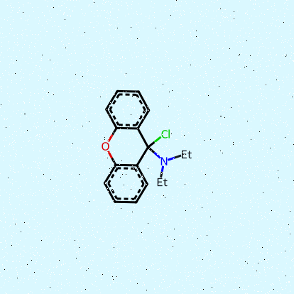 CCN(CC)C1(Cl)c2ccccc2Oc2ccccc21